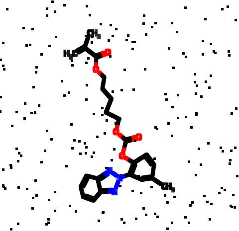 C=C(C)C(=O)OCCCCCOC(=O)Oc1ccc(C)cc1-n1nc2ccccc2n1